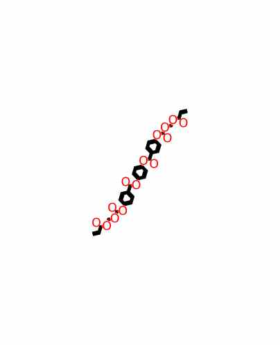 C=CC(=O)OCOC(=O)Oc1ccc(C(=O)Oc2ccc(OC(=O)c3ccc(OC(=O)OCOC(=O)C=C)cc3)cc2)cc1